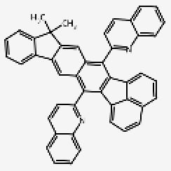 CC1(C)c2ccccc2-c2cc3c(-c4ccc5ccccc5n4)c4c(c(-c5ccc6ccccc6n5)c3cc21)-c1cccc2cccc-4c12